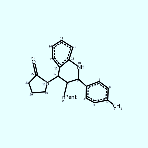 CCCCCC1C(c2ccc(C)cc2)Nc2ccccc2C1N1CCCC1=O